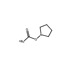 CCCCC(=O)ON1CCCC1